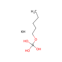 CCCCCO[Si](O)(O)O.[KH]